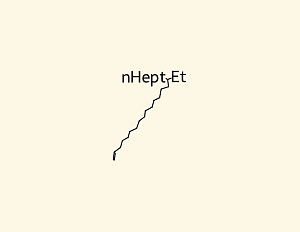 C=CCCCCCCCCCCCCCC(CC)CCCCCCC